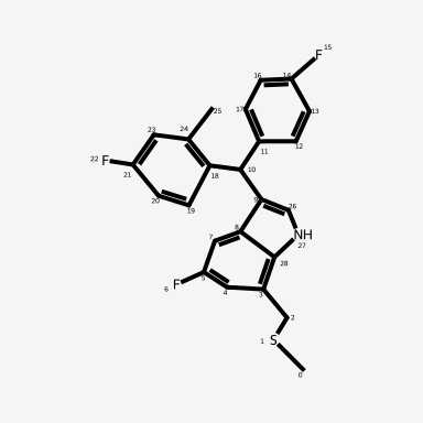 CSCc1cc(F)cc2c(C(c3ccc(F)cc3)c3ccc(F)cc3C)c[nH]c12